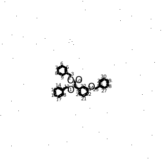 O=C(OCc1ccccc1)C(OCc1ccccc1)c1cccc(OCc2ccccc2)c1